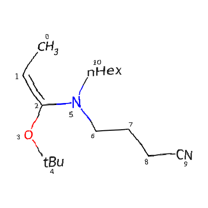 CC=C(OC(C)(C)C)N(CCCC#N)CCCCCC